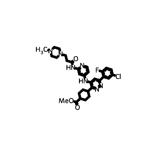 COC(=O)C1CCC(c2nnc(-c3cc(Cl)ccc3F)cc2Nc2ccnc(NC(=O)CCN3CCN(C)CC3)c2)CC1